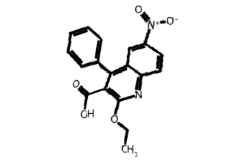 CCOc1nc2ccc([N+](=O)[O-])cc2c(-c2ccccc2)c1C(=O)O